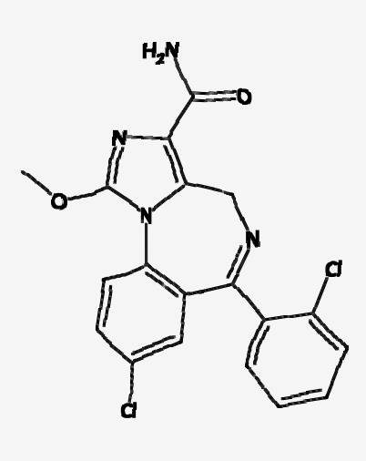 COc1nc(C(N)=O)c2n1-c1ccc(Cl)cc1C(c1ccccc1Cl)=NC2